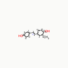 Cc1cc(/C=C/c2ccc(O)cc2)ccc1O